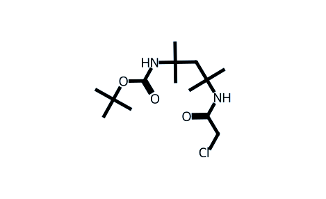 CC(C)(CC(C)(C)NC(=O)OC(C)(C)C)NC(=O)CCl